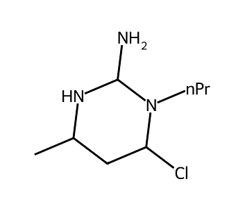 CCCN1C(Cl)CC(C)NC1N